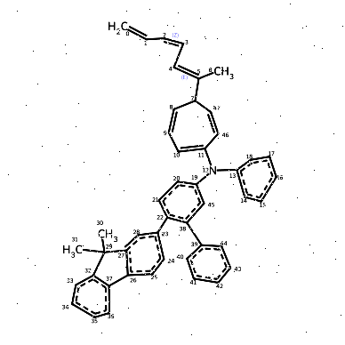 C=C/C=C\C=C(/C)C1C=CC=C(N(c2ccccc2)c2ccc(-c3ccc4c(c3)C(C)(C)c3ccccc3-4)c(-c3ccccc3)c2)C=C1